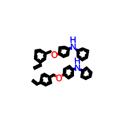 C=Cc1ccc(COc2ccc(Nc3ccccc3)cc2)cc1.C=Cc1cccc(COc2ccc(Nc3ccccc3)cc2)c1